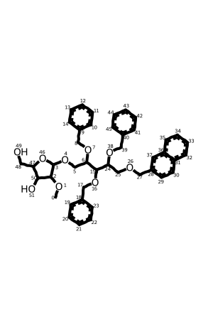 COC1C(OCC(OCc2ccccc2)C(OCc2ccccc2)C(COCc2ccc3ccccc3c2)OCc2ccccc2)OC(CO)C1O